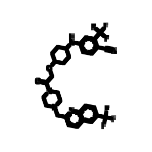 N#Cc1ccc(NC2CCC(OCC(=O)N3CCN(Cc4ccc5cc(C(F)(F)F)ccc5n4)CC3)CC2)cc1C(F)(F)F